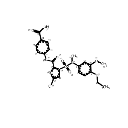 CCOc1ccc(N(C)S(=O)(=O)c2cc(Cl)sc2C(=O)Nc2ccc(C(=O)O)cc2)cc1OC